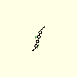 C=CCCc1ccc(-c2ccc(-c3ccc(C4CCC(CCCCC)CC4)cc3F)cc2)c(F)c1F